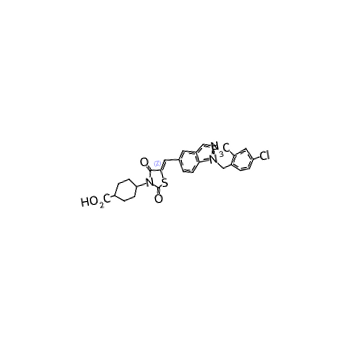 O=C(O)C1CCC(N2C(=O)S/C(=C\c3ccc4c(cnn4Cc4ccc(Cl)cc4C(F)(F)F)c3)C2=O)CC1